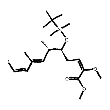 COC(=O)/C(=C\C[C@H](O[Si](C)(C)C(C)(C)C)[C@@H](C)/C=C(C)/C=C\I)OC